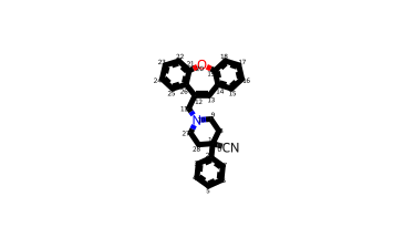 N#CC1(c2ccccc2)CCN(CC2=Cc3ccccc3Oc3ccccc32)CC1